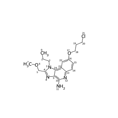 CCCn1c(COC)nc2c(N)nc3ccc(OCCCCl)cc3c21